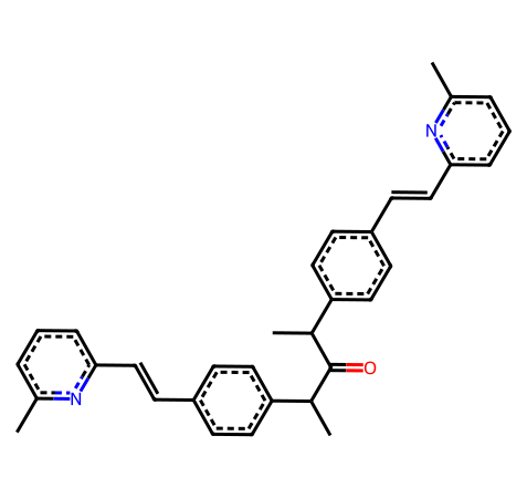 Cc1cccc(C=Cc2ccc(C(C)C(=O)C(C)c3ccc(C=Cc4cccc(C)n4)cc3)cc2)n1